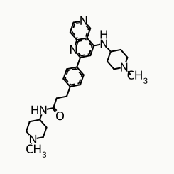 CN1CCC(NC(=O)CCc2ccc(-c3cc(NC4CCN(C)CC4)c4cnccc4n3)cc2)CC1